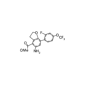 COC(=O)c1c(N)cc(-c2ccc(OC(F)(F)F)cc2F)c2c1CCO2